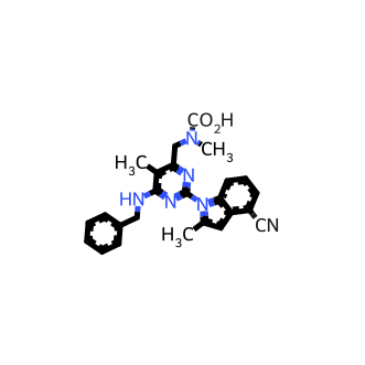 Cc1c(CN(C)C(=O)O)nc(-n2c(C)cc3c(C#N)cccc32)nc1NCc1ccccc1